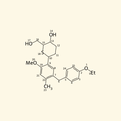 CCOc1ccc(Cc2cc(C3CCC(O)C(CO)S3)c(OC)cc2C)cc1